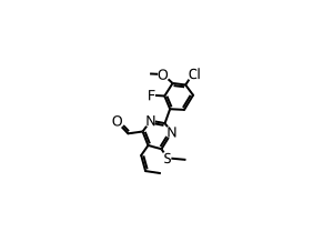 C/C=C\c1c(C=O)nc(-c2ccc(Cl)c(OC)c2F)nc1SC